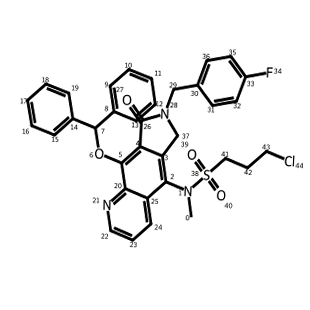 CN(c1c2c(c(OC(c3ccccc3)c3ccccc3)c3ncccc13)C(=O)N(Cc1ccc(F)cc1)C2)S(=O)(=O)CCCCl